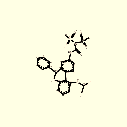 CS(=O)(=O)N(C(=O)Nc1ccc2c(c1)C(c1ccccc1)Oc1cccc(OC(F)F)c1-2)S(C)(=O)=O